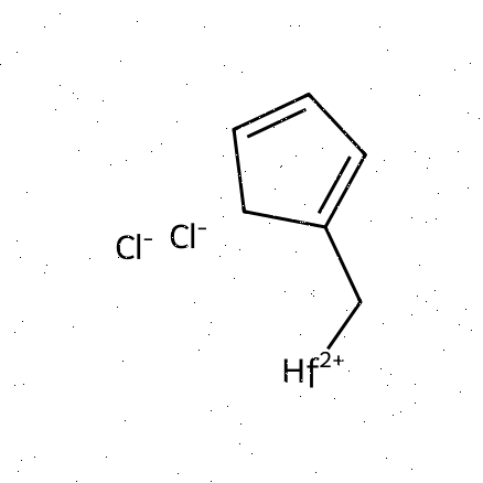 [Cl-].[Cl-].[Hf+2][CH2]C1=CC=CC1